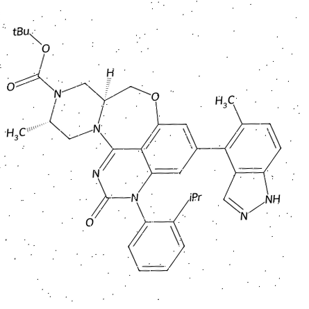 Cc1ccc2[nH]ncc2c1-c1cc2c3c(nc(=O)n(-c4ccccc4C(C)C)c3c1)N1C[C@H](C)N(C(=O)OC(C)(C)C)C[C@H]1CO2